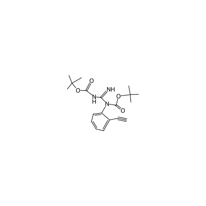 C#Cc1ccccc1N(C(=N)NC(=O)OC(C)(C)C)C(=O)OC(C)(C)C